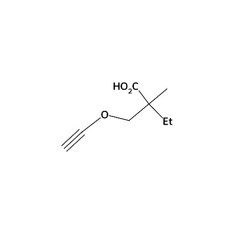 C#COCC(C)(CC)C(=O)O